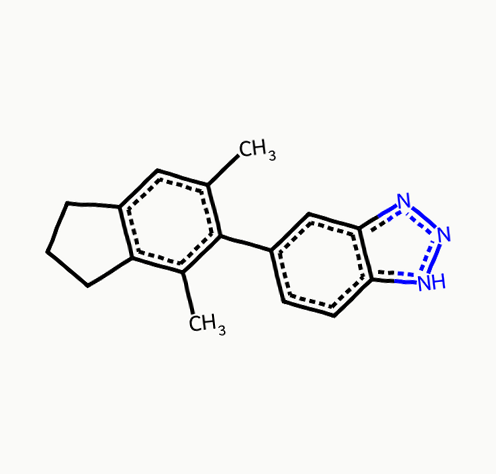 Cc1cc2c(c(C)c1-c1ccc3[nH]nnc3c1)CCC2